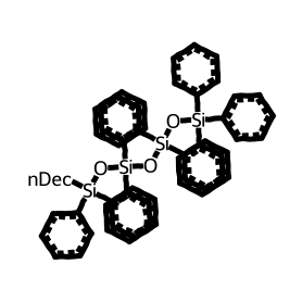 [CH2]CCCCCCCCC[Si](O[Si](O[Si](O[Si](c1ccccc1)(c1ccccc1)c1ccccc1)(c1ccccc1)c1ccccc1)(c1ccccc1)c1ccccc1)(c1ccccc1)c1ccccc1